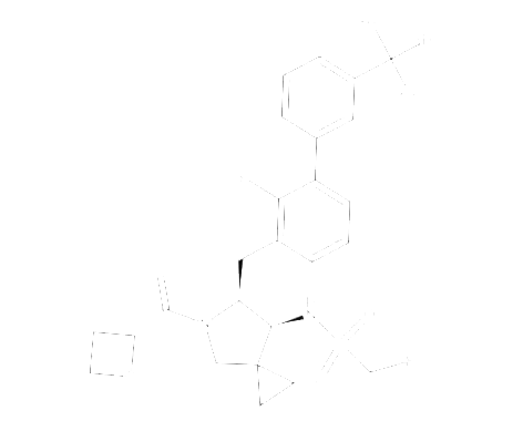 [2H]C([2H])([2H])c1cccc(-c2cccc(C[C@H]3[C@@H](NS(=O)(=O)CF)C4(CC4)CN3C(=O)[C@H]3CCO3)c2F)c1